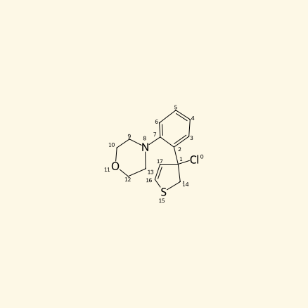 ClC1(c2ccccc2N2CCOCC2)[CH]SC=C1